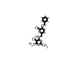 Cc1nc(C)c(Cl)c(NCc2ccc(OCc3ccccc3)c(Cl)n2)n1